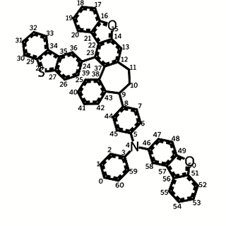 c1ccc(N(c2ccc(C3CCc4cc5oc6ccccc6c5c(-c5ccc6sc7ccccc7c6c5)c4-c4ccccc43)cc2)c2ccc3oc4ccccc4c3c2)cc1